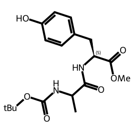 COC(=O)[C@H](Cc1ccc(O)cc1)NC(=O)C(C)NC(=O)OC(C)(C)C